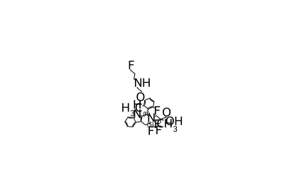 Cc1c(OCCNCCCF)ccc(F)c1[C@@H]1c2[nH]c3ccccc3c2C[C@@H](C(F)(F)F)N1CC(C)C(=O)O